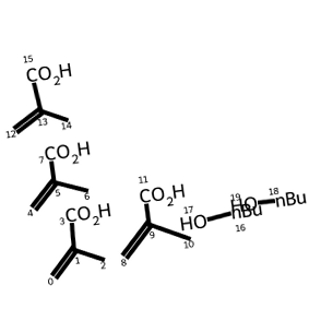 C=C(C)C(=O)O.C=C(C)C(=O)O.C=C(C)C(=O)O.C=C(C)C(=O)O.CCCCO.CCCCO